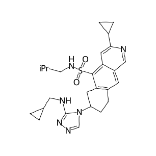 CC(C)CNS(=O)(=O)c1c2c(cc3cnc(C4CC4)cc13)CCC(n1cnnc1NCC1CC1)C2